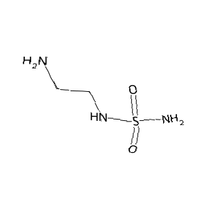 NCCNS(N)(=O)=O